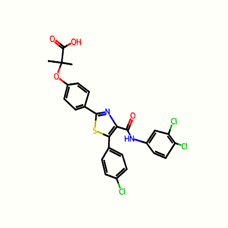 CC(C)(Oc1ccc(-c2nc(C(=O)Nc3ccc(Cl)c(Cl)c3)c(-c3ccc(Cl)cc3)s2)cc1)C(=O)O